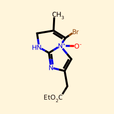 CCOC(=O)CC1=C[N+]2([O-])C(=N1)NCC(C)=C2Br